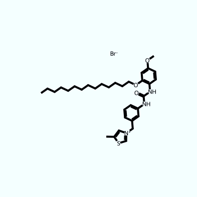 CCCCCCCCCCCCCCOc1cc(OC)ccc1NC(=O)Nc1cccc(C[n+]2csc(C)c2)c1.[Br-]